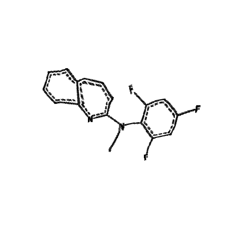 CN(c1ccc2ccccc2n1)c1c(F)cc(F)cc1F